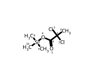 CC(Cl)(Cl)C(=O)O[Si](C)(C)C